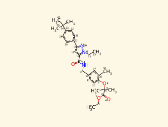 CCOC(=O)C(C)(C)Oc1ccc(CNC(=O)c2cc(-c3ccc(C(C)(C)C)cc3)nn2CC)cc1C